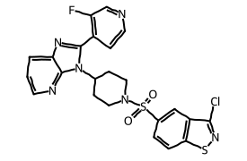 O=S(=O)(c1ccc2snc(Cl)c2c1)N1CCC(n2c(-c3ccncc3F)nc3cccnc32)CC1